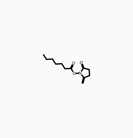 C=C1CCC(=O)N1OC(=O)CCCCCC